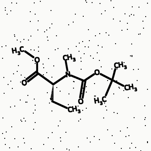 CC[C@H](C(=O)OC)N(C)C(=O)OC(C)(C)C